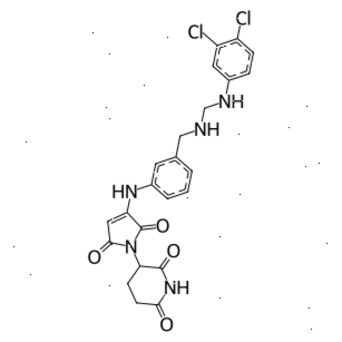 O=C1CCC(N2C(=O)C=C(Nc3cccc(CNCNc4ccc(Cl)c(Cl)c4)c3)C2=O)C(=O)N1